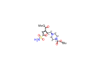 COC(=O)c1cc(S(N)(=O)=O)oc1CN1CCN(C(=O)OC(C)(C)C)CC1